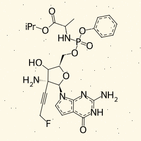 CC(C)OC(=O)C(C)NP(=O)(OC[C@H]1O[C@@H](n2ccc3c(=O)[nH]c(N)nc32)[C@@](N)(C#CCF)C1O)Oc1ccccc1